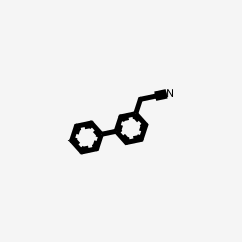 N#CCc1cccc(-c2cc[c]cc2)c1